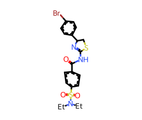 CCN(CC)S(=O)(=O)c1ccc(C(=O)NC2=NC(c3ccc(Br)cc3)CS2)cc1